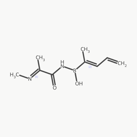 C=C/C=C(\C)B(O)NC(=O)/C(C)=N/C